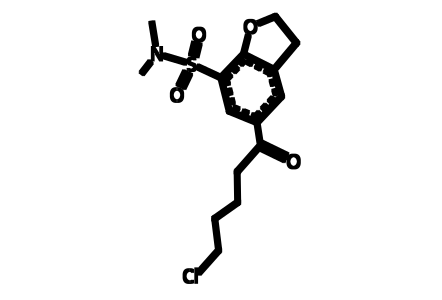 CN(C)S(=O)(=O)c1cc(C(=O)CCCCCl)cc2c1OCC2